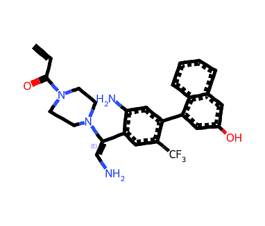 C=CC(=O)N1CCN(/C(=C/N)c2cc(C(F)(F)F)c(-c3cc(O)cc4ccccc34)cc2N)CC1